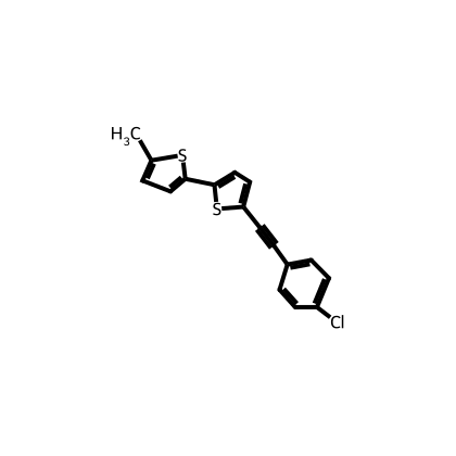 Cc1ccc(-c2ccc(C#Cc3ccc(Cl)cc3)s2)s1